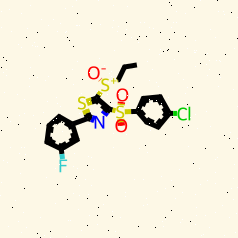 CCC[S+]([O-])c1sc(-c2cccc(F)c2)nc1S(=O)(=O)c1ccc(Cl)cc1